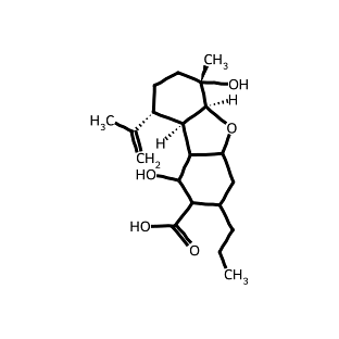 C=C(C)[C@@H]1CC[C@](C)(O)[C@H]2OC3CC(CCC)C(C(=O)O)C(O)C3[C@@H]12